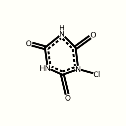 O=c1[nH]c(=O)n(Cl)c(=O)[nH]1